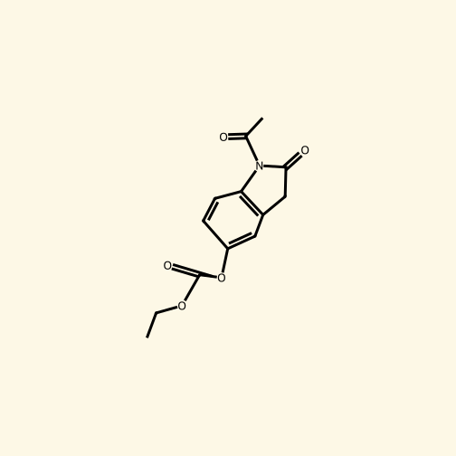 CCOC(=O)Oc1ccc2c(c1)CC(=O)N2C(C)=O